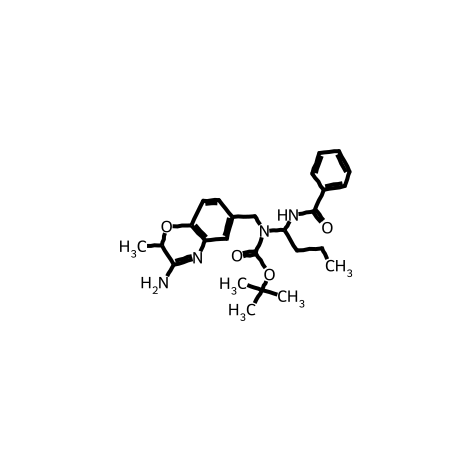 CCCC(NC(=O)c1ccccc1)N(Cc1ccc2c(c1)N=C(N)C(C)O2)C(=O)OC(C)(C)C